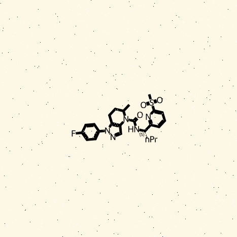 CCC[C@H](NC(=O)N1c2cnn(-c3ccc(F)cc3)c2CCC1C)c1cccc(S(C)(=O)=O)n1